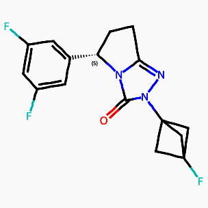 O=c1n(C23CC(F)(C2)C3)nc2n1[C@H](c1cc(F)cc(F)c1)CC2